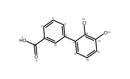 O=C(O)c1cccc(-c2cccc(Cl)c2Cl)c1